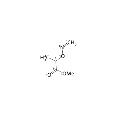 C=NOC(C)C(=O)OC